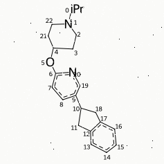 CC(C)N1CCC(Oc2ccc(C3Cc4ccccc4C3)cn2)CC1